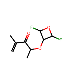 C=C(C)C(=O)C(C)OC1C(F)OC1F